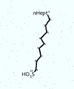 CCCC[CH]CCCCCCCCCCCS(=O)(=O)O